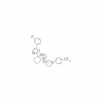 NC1(c2ncc(-c3cccc(F)c3)o2)CCCCC1N[C@H]1CCCN(c2ccc(C(F)(F)F)cc2)C1